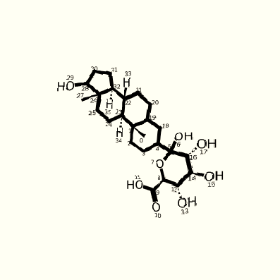 C[C@]12CCC(C3(O)O[C@H](C(=O)O)[C@@H](O)[C@H](O)[C@H]3O)CC1CC[C@@H]1[C@@H]2CC[C@]2(C)C(O)CC[C@@H]12